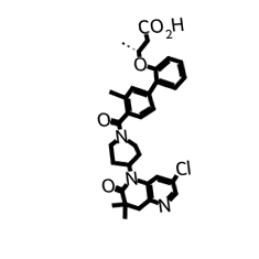 Cc1cc(-c2ccccc2O[C@H](C)CC(=O)O)ccc1C(=O)N1CCC(N2C(=O)C(C)(C)Cc3ncc(Cl)cc32)CC1